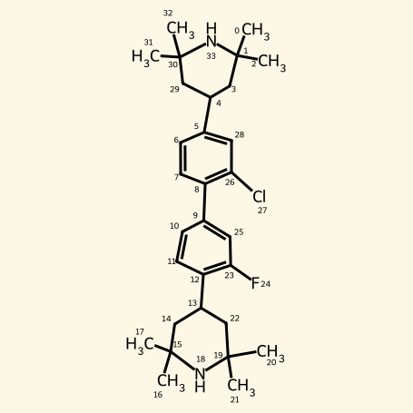 CC1(C)CC(c2ccc(-c3ccc(C4CC(C)(C)NC(C)(C)C4)c(F)c3)c(Cl)c2)CC(C)(C)N1